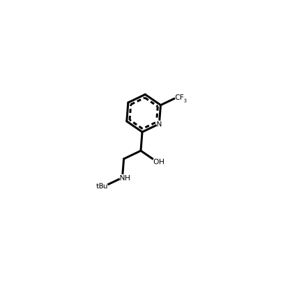 CC(C)(C)NCC(O)c1cccc(C(F)(F)F)n1